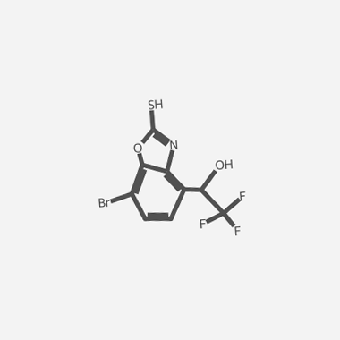 OC(c1ccc(Br)c2oc(S)nc12)C(F)(F)F